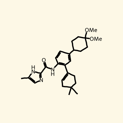 COC1(OC)CCC(c2ccc(NC(=O)c3ncc(C)[nH]3)c(C3=CCC(C)(C)CC3)c2)CC1